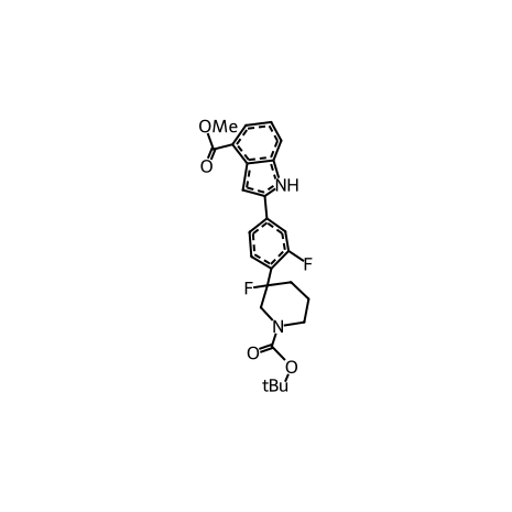 COC(=O)c1cccc2[nH]c(-c3ccc(C4(F)CCCN(C(=O)OC(C)(C)C)C4)c(F)c3)cc12